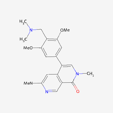 CNc1cc2c(-c3cc(OC)c(CN(C)C)c(OC)c3)cn(C)c(=O)c2cn1